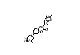 Cc1nn2cc(-c3cc4ccc(N5CC(C)NC(C)C5)cc4oc3=O)nc2s1